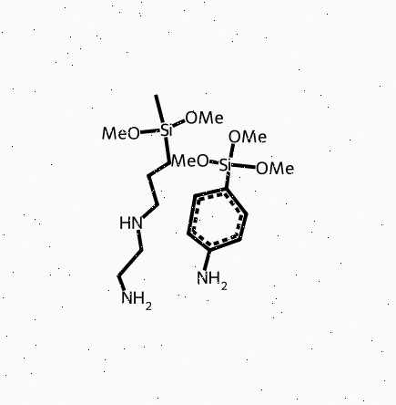 CO[Si](C)(CCCNCCN)OC.CO[Si](OC)(OC)c1ccc(N)cc1